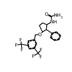 NC(=O)NC1CCC(OCc2cc(C(F)(F)F)cc(C(F)(F)F)c2)C1c1ccccc1